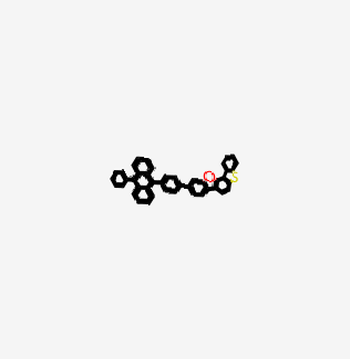 c1ccc(-c2c3ccccc3c(-c3ccc(-c4ccc5c(c4)oc4c5ccc5sc6ccccc6c54)cc3)c3ccccc23)cc1